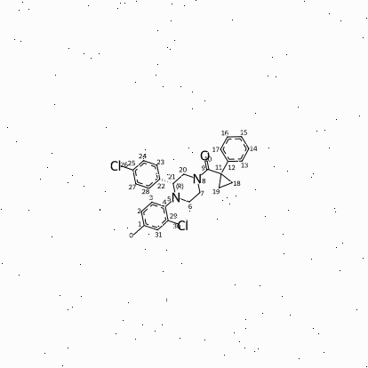 Cc1ccc(N2CCN(C(=O)C3(c4ccccc4)CC3)C[C@H]2c2ccc(Cl)cc2)c(Cl)c1